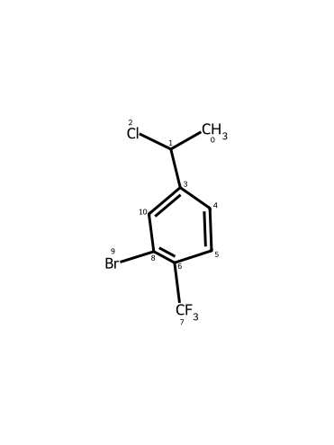 CC(Cl)c1ccc(C(F)(F)F)c(Br)c1